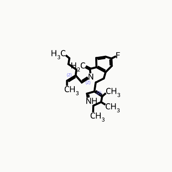 C=C(/N=C\C(=C/C)CCCC)c1ccc(F)cc1CC/C(C=N)=C(\C)C(C)CC